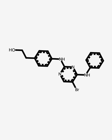 OCCc1ccc(Nc2ncc(Br)c(Nc3ccccc3)n2)cc1